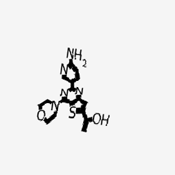 C=C(O)c1cc2nc(-c3ccc(N)nc3)nc(N3CCOCC3)c2s1